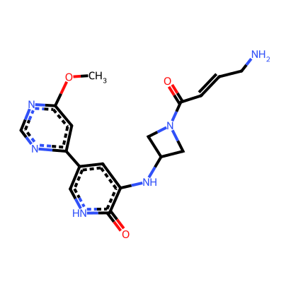 COc1cc(-c2c[nH]c(=O)c(NC3CN(C(=O)C=CCN)C3)c2)ncn1